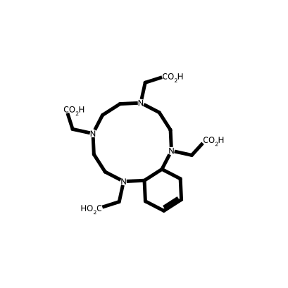 O=C(O)CN1CCN(CC(=O)O)CCN(CC(=O)O)C2CC=CCC2N(CC(=O)O)CC1